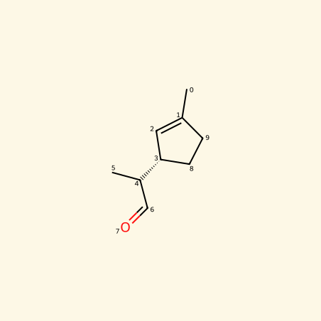 CC1=C[C@@H](C(C)C=O)CC1